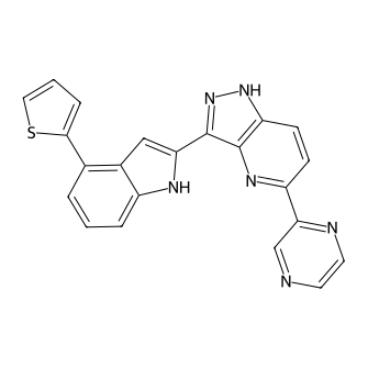 c1csc(-c2cccc3[nH]c(-c4n[nH]c5ccc(-c6cnccn6)nc45)cc23)c1